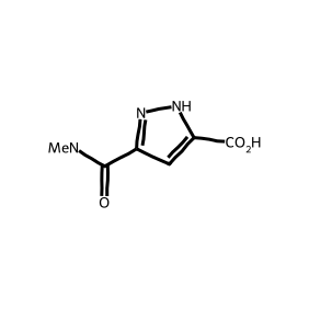 CNC(=O)c1cc(C(=O)O)[nH]n1